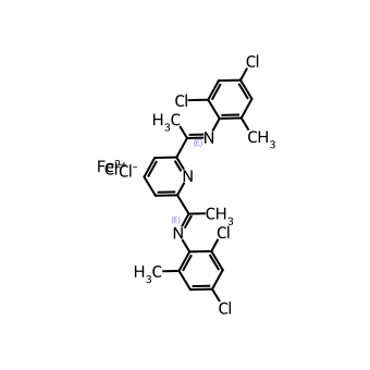 C/C(=N\c1c(C)cc(Cl)cc1Cl)c1cccc(/C(C)=N/c2c(C)cc(Cl)cc2Cl)n1.[Cl-].[Cl-].[Fe+2]